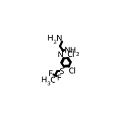 CC(F)(F)CSc1cc(/N=C(\N)CCN)c(Cl)cc1Cl